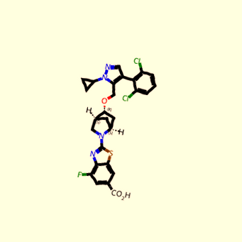 O=C(O)c1cc(F)c2nc(N3C[C@@H]4C[C@H]3C[C@H]4OCc3c(-c4c(Cl)cccc4Cl)cnn3C3CC3)sc2c1